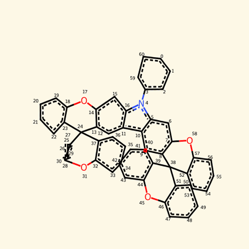 c1ccc(-n2c3cc4c(cc3c3cc5c(cc32)Oc2ccccc2C52c3ccccc3Oc3ccccc32)C2(c3ccccc3Oc3ccccc32)c2ccccc2O4)cc1